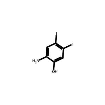 Nc1cc(I)c(I)cc1O